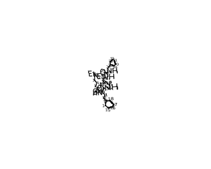 CCN(CC)CCCS(=O)(=O)N[C@H](CCc1ccccc1)c1nc(CNC(=O)NCc2ccccc2)n[nH]1